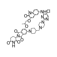 CC(=O)COc1cc2cc(Nc3nc(N4CCN(CC5CCN(c6ccc7c(c6)C(=O)N(C6CCC(=O)NC6=O)C7=O)CC5)CC4)ncc3Cl)ccc2n(C)c1=O